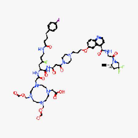 C#C[C@H]1CC(F)(F)CN1C(=O)CNC(=O)c1ccnc2ccc(OCCCN3CCN(C(=O)CC(=O)NC(=O)C(CC(F)CCNC(=O)CCCc4ccc(I)cc4)NC(=O)CN4CCN(COC=O)CCN(COC=O)CCN(CC(=O)O)CC4)CC3)cc12